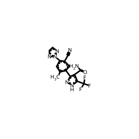 Cc1cc(-n2nccn2)c(C#N)cc1-c1n[nH]c(C(F)(F)F)c1C(N)=O